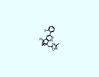 C=C1[C@@H]2CC[C@@]1(Cc1nc(C)no1)c1nnc(-c3ccccc3F)cc12